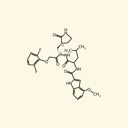 COc1cccc2[nH]c(C(=O)NC(CC(C)C)C(=O)N[C@@H](C[C@@H]3CCNC3=O)C(=O)COc3c(F)cccc3F)cc12